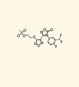 CS(=O)(=O)OCCSc1nonc1-c1noc(=O)n1-c1ccc(F)c(C(F)F)c1